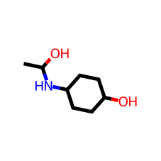 CC(O)NC1CCC(O)CC1